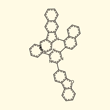 c1ccc(-c2nc(-c3ccc4c(c3)oc3ccccc34)nc(-c3ccc4ccccc4c3-n3c4ccccc4c4cc5ccccc5cc43)n2)cc1